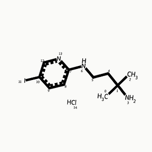 CC(C)(N)CCNc1ccc(I)cn1.Cl